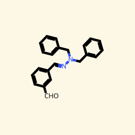 O=Cc1cccc(C=NN(Cc2ccccc2)Cc2ccccc2)c1